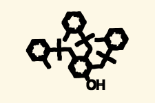 Cc1ccccc1C(C)(C)Cc1ccc(O)c(CC(C)(C)c2ccccc2C)c1CC(C)(C)c1ccccc1C